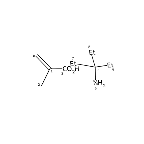 C=C(C)C(=O)O.CCC(N)(CC)CC